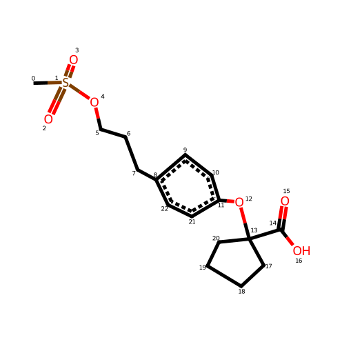 CS(=O)(=O)OCCCc1ccc(OC2(C(=O)O)CCCC2)cc1